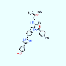 C=C(CCNC(=C)[C@H](Cc1ccc(C2N=CC(c3ccc(O)cc3)=CN2)cc1)NC(=O)c1ccc(C(C)(C)C)cc1)OC(C)(C)C